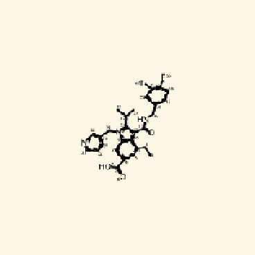 CCc1cc(C(=O)O)cc2c1c(C(=O)NCc1ccc(F)c(F)c1)c(C(C)C)n2Cc1cccnc1